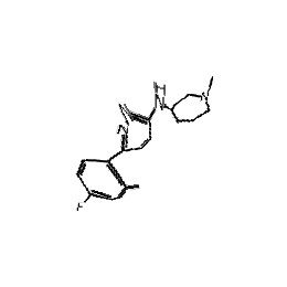 Cc1cc(F)ccc1-c1ccc(N[C@@H]2CCCN(C)C2)nn1